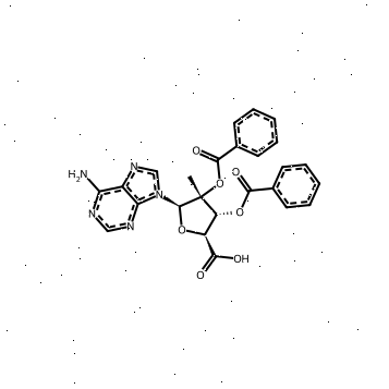 C[C@@]1(OC(=O)c2ccccc2)[C@H](OC(=O)c2ccccc2)[C@@H](C(=O)O)O[C@H]1n1cnc2c(N)ncnc21